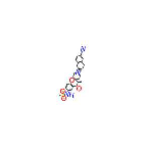 C=C1C(=O)c2cc(NS(C)(=O)=O)ccc2OC12CCN([C@@H]1CCc3cc(C#N)ccc3C1)CC2